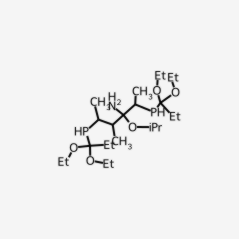 CCOC(CC)(OCC)PC(C)C(C)C(N)(OC(C)C)C(C)PC(CC)(OCC)OCC